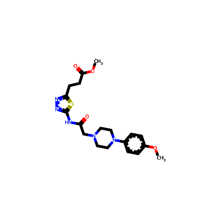 COC(=O)CCc1nnc(NC(=O)CN2CCN(c3ccc(OC)cc3)CC2)s1